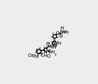 COc1cccc(-c2cc(C(=O)Nc3cc([C@H]4CC[C@@H](OC(=O)NC(C)C)C4)[nH]n3)n(C)n2)c1C=O